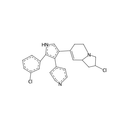 Clc1cccc(-c2[nH]cc(C3=CC4CC(Cl)CN4CC3)c2-c2ccncc2)c1